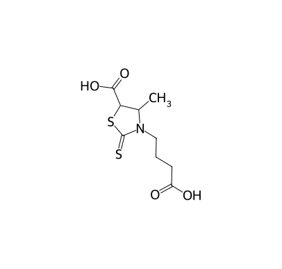 CC1C(C(=O)O)SC(=S)N1CCCC(=O)O